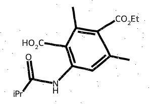 CCOC(=O)c1c(C)cc(NC(=O)C(C)C)c(C(=O)O)c1C